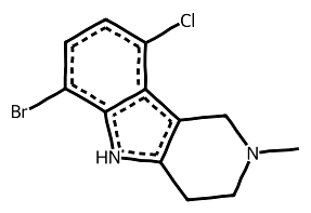 CN1CCc2[nH]c3c(Br)ccc(Cl)c3c2C1